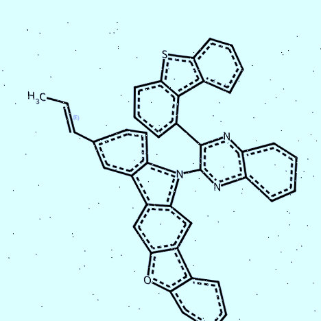 C/C=C/c1ccc2c(c1)c1cc3oc4ccccc4c3cc1n2-c1nc2ccccc2nc1-c1cccc2sc3ccccc3c12